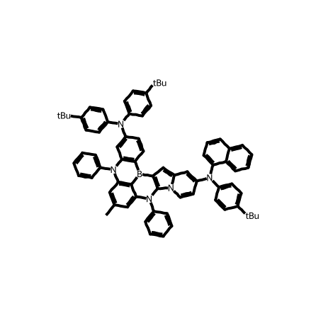 Cc1cc2c3c(c1)N(c1ccccc1)c1c(cc4cc(N(c5ccc(C(C)(C)C)cc5)c5cccc6ccccc56)ccn14)B3c1ccc(N(c3ccc(C(C)(C)C)cc3)c3ccc(C(C)(C)C)cc3)cc1N2c1ccccc1